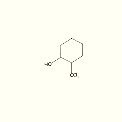 OC1CCCCC1C(Cl)(Cl)Cl